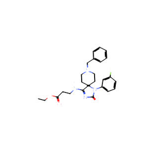 CCOC(=O)CCNC1=NC(=O)N(c2cccc(F)c2)C12CCN(Cc1ccccc1)CC2